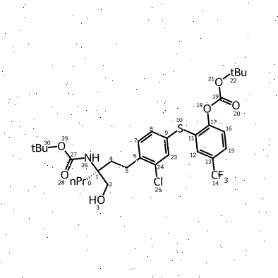 CCC[C@@](CO)(CCc1ccc(Sc2cc(C(F)(F)F)ccc2OC(=O)OC(C)(C)C)cc1Cl)NC(=O)OC(C)(C)C